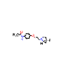 CC(=O)Nc1ccc(OCCCN2CC[C@H]3C[C@H]32)cc1